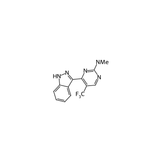 CNc1ncc(C(F)(F)F)c(-c2n[nH]c3ccccc23)n1